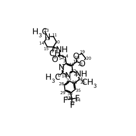 Cc1nc(CC(=O)NC2(C)CCN(C)CC2)c(C2OCCO2)c(N[C@H](C)c2cccc(C(F)(F)F)c2)n1